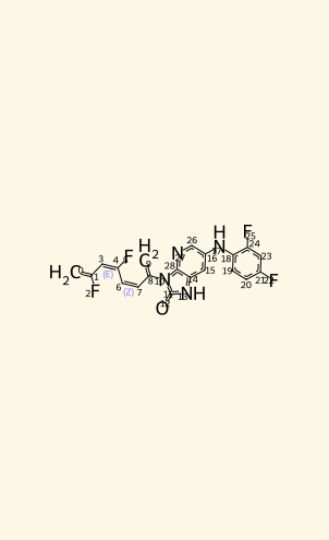 C=C(F)/C=C(F)\C=C/C(=C)n1c(=O)[nH]c2cc(Nc3ccc(F)cc3F)cnc21